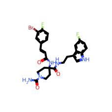 NC(=O)N1CCC(NC(=O)/C=C/c2ccc(F)c(Br)c2)(C(=O)NCCc2c[nH]c3ccc(F)cc23)CC1